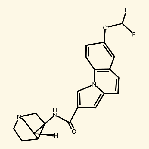 O=C(N[C@H]1CN2CCC1CC2)c1cc2ccc3cc(OC(F)F)ccc3n2c1